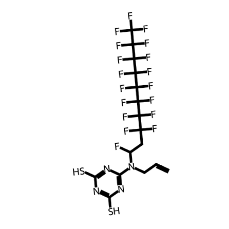 C=CCN(c1nc(S)nc(S)n1)C(F)CC(F)(F)C(F)(F)C(F)(F)C(F)(F)C(F)(F)C(F)(F)C(F)(F)C(F)(F)F